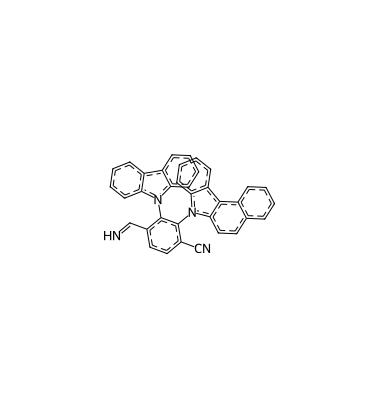 N#Cc1ccc(C=N)c(-n2c3ccccc3c3ccccc32)c1-n1c2ccccc2c2c3ccccc3ccc21